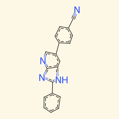 N#Cc1ccc(-c2cnc3nc(-c4ccccc4)[nH]c3c2)cc1